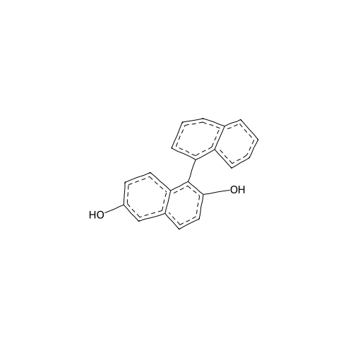 Oc1ccc2c(-c3cccc4ccccc34)c(O)ccc2c1